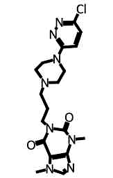 Cn1cnc2c1c(=O)n(CCCN1CCN(c3ccc(Cl)nn3)CC1)c(=O)n2C